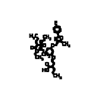 CCCC(C(=O)OCC)P(=O)(OCC)OCC.CCCC(CCOC1CCCC(OCc2nc(-c3ccc(F)cc3)oc2C)C1)C(=O)O